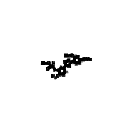 COC(=O)NCc1cc(-c2ncn(-c3ccc(OC)nc3OC)n2)ccc1C